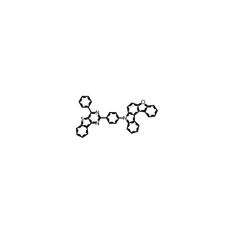 c1ccc(-c2nc(-c3ccc(-n4c5ccccc5c5c6c(ccc54)oc4ccccc46)cc3)nc3c2sc2ccccc23)cc1